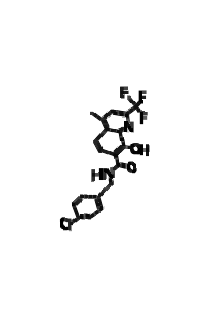 Cc1cc(C(F)(F)F)nc2c(O)c(C(=O)NCc3ccc(Cl)cc3)ccc12